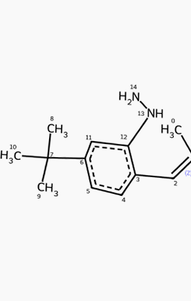 C/C=C\c1ccc(C(C)(C)C)cc1NN